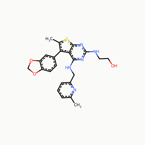 Cc1cccc(CNc2nc(NCCO)nc3sc(C)c(-c4ccc5c(c4)OCO5)c23)n1